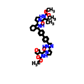 COC(=O)NC(C(=O)N1CCCC1c1[nH]c(-c2ccc(-c3ccc(-c4cnc([C@@H]5CCCN5C(=O)C(NC(=O)OC)C5CCOC5)[nH]4)cc3)cc2)c2c1CCCC2)C(C)C